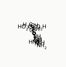 CC(C)(CC(NC(=O)c1ccc(NCC2CNc3nc(N)[nH]c(=O)c3N2)cc1)C(=O)O)C(=O)O